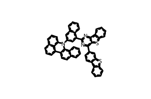 c1ccc2c(-c3nc(-c4ccc5c(c4)sc4ccccc45)c4sc5ccccc5c4n3)cc(N3c4c(ccc5ccccc45)-c4cccc5cccc3c45)cc2c1